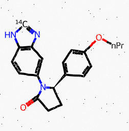 CCCOc1ccc([C@H]2CCC(=O)N2c2ccc3[nH][14cH]nc3c2)cc1